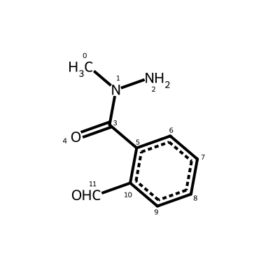 CN(N)C(=O)c1ccccc1C=O